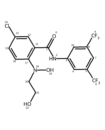 O=C(Nc1cc(C(F)(F)F)cc(C(F)(F)F)c1)c1cc(Cl)ccc1N(O)CCO